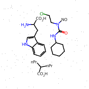 CCCC(CCC)C(=O)O.NC(Cc1c[nH]c2ccccc12)C(=O)O.O=NN(CCCl)C(=O)NC1CCCCC1